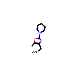 CC(=O)OCc1nc(N2CCCCC2)oc1C